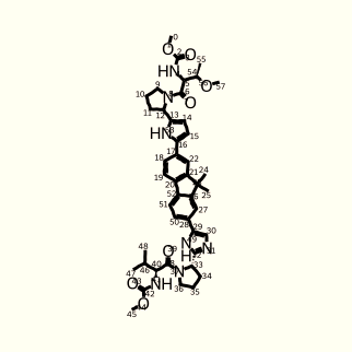 COC(=O)NC(C(=O)N1CCCC1c1ccc(-c2ccc3c(c2)C(C)(C)c2cc(-c4cnc([C@@H]5CCCN5C(=O)[C@@H](NC(=O)OC)C(C)C)[nH]4)ccc2-3)[nH]1)[C@@H](C)OC